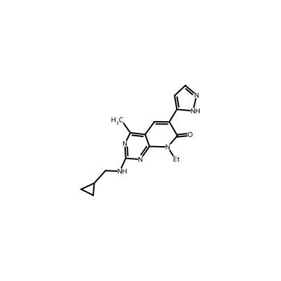 CCn1c(=O)c(-c2ccn[nH]2)cc2c(C)nc(NCC3CC3)nc21